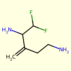 C=C(CCN)C(N)C(F)F